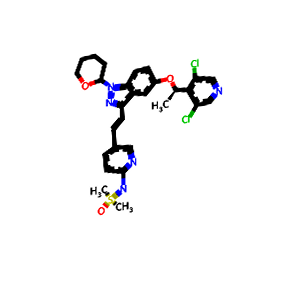 C[C@@H](Oc1ccc2c(c1)c(/C=C/c1ccc(N=S(C)(C)=O)nc1)nn2C1CCCCO1)c1c(Cl)cncc1Cl